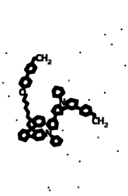 C=Cc1ccc(-c2ccc(OCCCCCCCCC3(c4ccccc4)c4ccccc4-c4ccc(N(c5ccccc5)c5ccc(-c6ccc7c(c6)c6cc(-c8ccc(C=C)cc8)ccc6n7-c6ccccc6)cc5)cc43)cc2)cc1